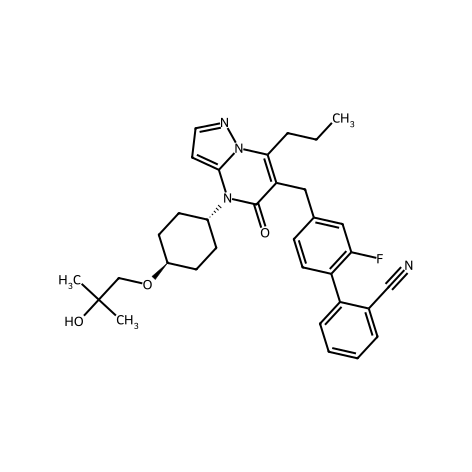 CCCc1c(Cc2ccc(-c3ccccc3C#N)c(F)c2)c(=O)n([C@H]2CC[C@H](OCC(C)(C)O)CC2)c2ccnn12